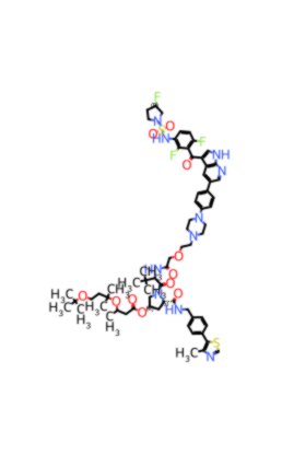 Cc1ncsc1-c1ccc(CNC(=O)[C@@H]2C[C@@H](OC(=O)CC(C)OC(C)(C)CCOC(C)(C)C)CN2C(=O)C(NC(=O)COCCN2CCN(c3ccc(-c4cnc5[nH]cc(C(=O)c6c(F)ccc(NS(=O)(=O)N7CC[C@@H](F)C7)c6F)c5c4)cc3)CC2)C(C)(C)C)cc1